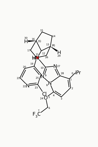 CC(C)c1ccc(OCC(F)(F)F)n2nc(NC3[C@@H]4CC[C@H]3CN(c3ccnc(Cl)c3)C4)nc12